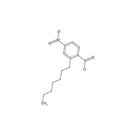 CCCCCCCc1cc([N+](=O)[O-])ccc1C(=O)Cl